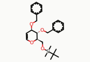 CC(C)(C)[Si](C)(C)OC[C@H]1OC=C[C@@H](OCc2ccccc2)[C@@H]1OCc1ccccc1